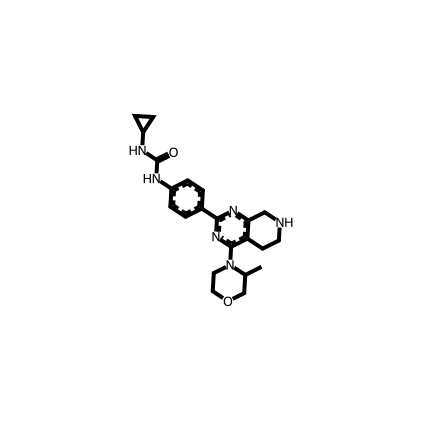 CC1COCCN1c1nc(-c2ccc(NC(=O)NC3CC3)cc2)nc2c1CCNC2